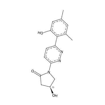 Cc1cc(C)c(-c2ccc(N3C[C@@H](O)CC3=O)nn2)c(O)c1